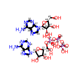 Nc1ncnc2c1ncn2[C@@H]1O[C@H](C(O)OP(=O)(O)OP(=O)(O)OP(=O)(O)O)[C@@H](O)[C@H]1O.Nc1ncnc2c1ncn2[C@@H]1O[C@H](CO)[C@@H](O)[C@H]1O